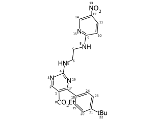 CCOC(=O)c1cnc(NCCNc2ccc([N+](=O)[O-])cn2)nc1-c1ccc(C(C)(C)C)cc1